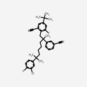 CC(C)(C)c1cc(F)c(CC(C)(CCCCC(C)(C)c2ccc(F)c(Cl)c2)c2cccc(C#N)c2)c(C#N)c1